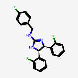 Fc1ccc(CNC2=N[C@@H](c3ccccc3F)[C@@H](c3ccccc3F)N2)cc1